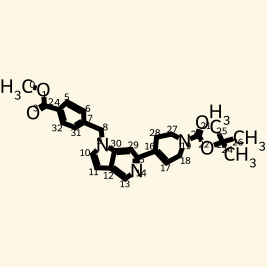 COC(=O)c1ccc(Cn2ccc3cnc(C4=CCN(C(=O)OC(C)(C)C)CC4)cc32)cc1